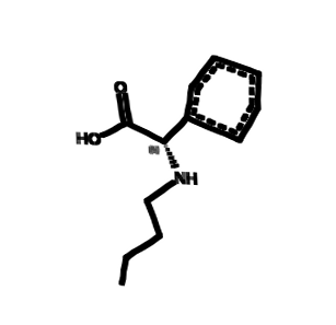 CCCCN[C@H](C(=O)O)c1ccccc1